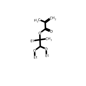 C=C(C)C(=O)OC(C)(CC)C(OCC)OCC